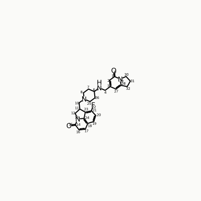 O=c1cc(CNC2CCN(CC3Cn4c(=O)ccc5ccc(F)c3c54)CC2)cc2n1CCC2